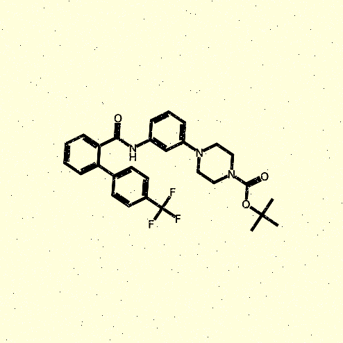 CC(C)(C)OC(=O)N1CCN(c2cccc(NC(=O)c3ccccc3-c3ccc(C(F)(F)F)cc3)c2)CC1